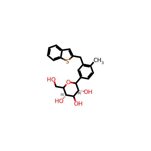 Cc1ccc(C2OC(CO)[C@@H](O)C(O)[C@H]2O)cc1Cc1cc2ccccc2s1